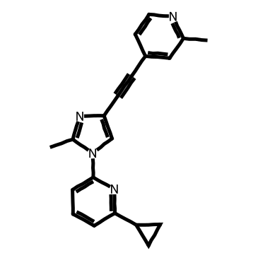 Cc1cc(C#Cc2cn(-c3cccc(C4CC4)n3)c(C)n2)ccn1